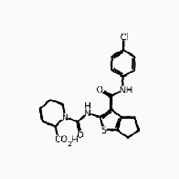 O=C(Nc1ccc(Cl)cc1)c1c(NC(=O)N2CCCCC2C(=O)O)sc2c1CCC2